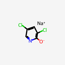 [Na+].[O-]c1ncc(Cl)cc1Cl